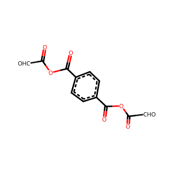 O=CC(=O)OC(=O)c1ccc(C(=O)OC(=O)C=O)cc1